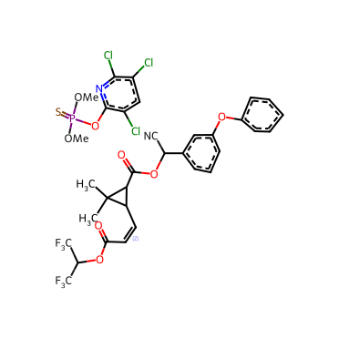 CC1(C)C(/C=C\C(=O)OC(C(F)(F)F)C(F)(F)F)C1C(=O)OC(C#N)c1cccc(Oc2ccccc2)c1.COP(=S)(OC)Oc1nc(Cl)c(Cl)cc1Cl